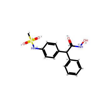 CS(=O)(=O)Nc1ccc(C(C(=O)NO)c2ccccc2)cc1